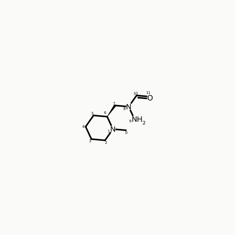 CN1CCCC[C@H]1CN(N)C=O